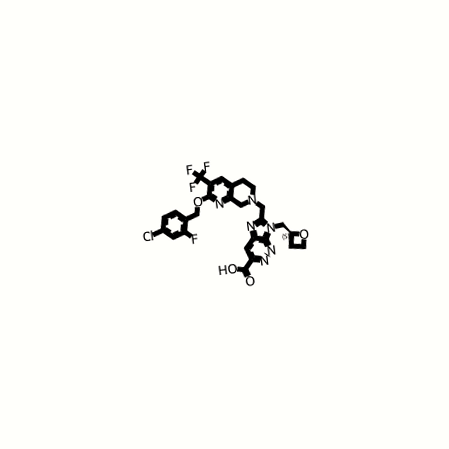 O=C(O)c1cc2nc(CN3CCc4cc(C(F)(F)F)c(OCc5ccc(Cl)cc5F)nc4C3)n(C[C@@H]3CCO3)c2nn1